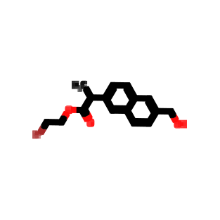 CC(C(=O)OCCBr)c1ccc2cc(CO)ccc2c1